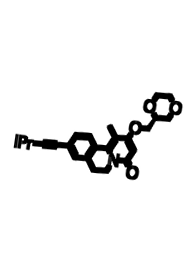 Cc1c(OC[C@@H]2COCCO2)cc(=O)n2c1-c1ccc(C#CC(C)C)cc1CC2